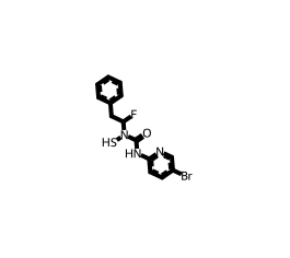 O=C(Nc1ccc(Br)cn1)N(S)C(F)Cc1ccccc1